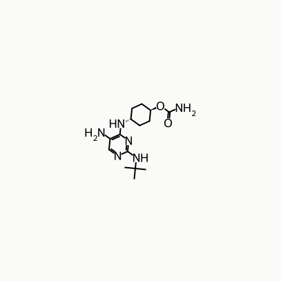 CC(C)(C)Nc1ncc(N)c(N[C@H]2CC[C@H](OC(N)=O)CC2)n1